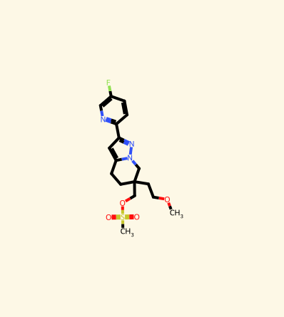 COCCC1(COS(C)(=O)=O)CCc2cc(-c3ccc(F)cn3)nn2C1